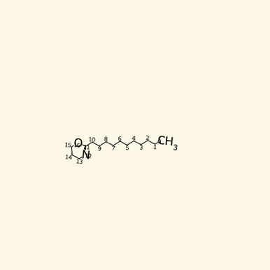 CCCCCCCCCCCC1=NCCCO1